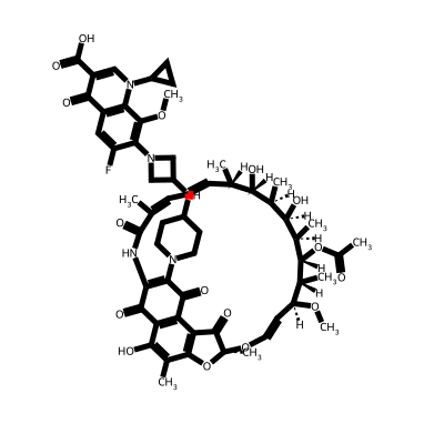 COc1c(N2CC(NC3CCN(C4=C5NC(=O)/C(C)=C\C=C\[C@H](C)[C@H](O)[C@@H](C)[C@@H](O)[C@@H](C)[C@H](OC(C)=O)[C@H](C)[C@@H](OC)/C=C/O[C@@]6(C)Oc7c(C)c(O)c(c(c7C6=O)C4=O)C5=O)CC3)C2)c(F)cc2c(=O)c(C(=O)O)cn(C3CC3)c12